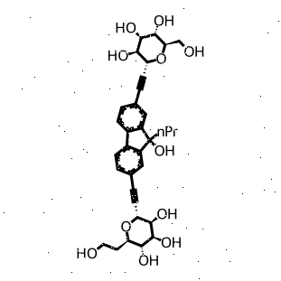 CCCC1(O)c2cc(C#C[C@H]3O[C@H](CO)[C@@H](O)[C@H](O)[C@@H]3O)ccc2-c2ccc(C#C[C@H]3O[C@H](CCO)[C@@H](O)[C@H](O)[C@@H]3O)cc21